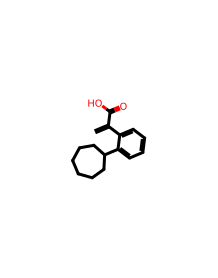 C=C(C(=O)O)c1ccccc1C1CCCCCC1